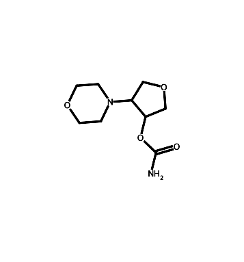 NC(=O)OC1COCC1N1CCOCC1